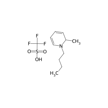 CCCCN1C=CC=CC1C.O=S(=O)(O)C(F)(F)F